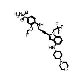 NS(=O)(=O)c1ccc(NCC#Cc2cc3c(N[C@H]4CC[C@@H](N5CCOCC5)CC4)cccc3n2CC(F)(F)F)c(OCF)c1